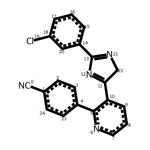 N#Cc1ccc(-c2ncccc2C2=NC(c3cccc(Cl)c3)=NC2)cc1